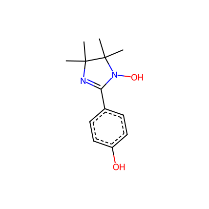 CC1(C)N=C(c2ccc(O)cc2)N(O)C1(C)C